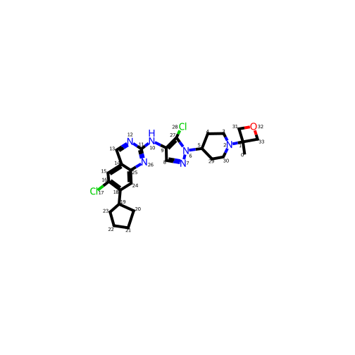 CC1(N2CCC(n3ncc(Nc4ncc5cc(Cl)c(C6CCCC6)cc5n4)c3Cl)CC2)COC1